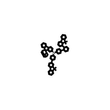 CC1(C)c2ccccc2-c2ccc(-c3ccc(N(c4ccc(-c5ccccc5-c5cccc6c5C(C)(C)c5ccccc5-6)cc4)c4ccc5c(c4)C4(c6ccccc6-5)C5CC6CC(C5)CC4C6)cc3)cc21